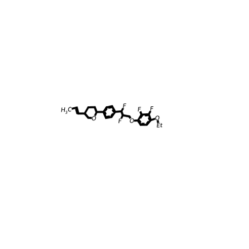 C/C=C/C1CCC(c2ccc(C(F)C(F)COc3ccc(OCC)c(F)c3F)cc2)OC1